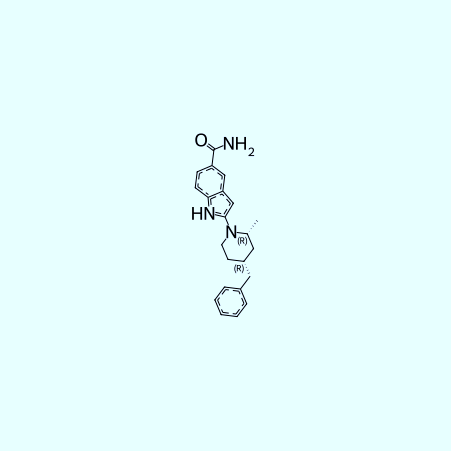 C[C@@H]1C[C@H](Cc2ccccc2)CCN1c1cc2cc(C(N)=O)ccc2[nH]1